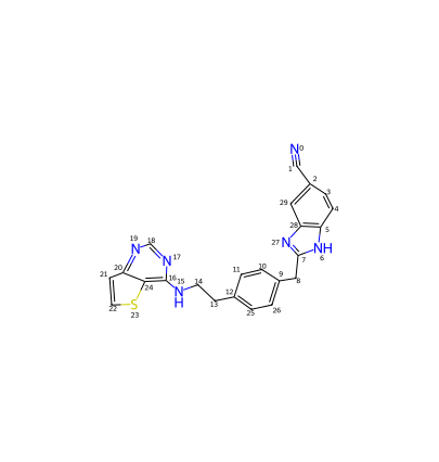 N#Cc1ccc2[nH]c(Cc3ccc(CCNc4ncnc5ccsc45)cc3)nc2c1